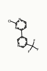 FC(F)(F)c1cncc(-c2ccnc(Cl)n2)c1